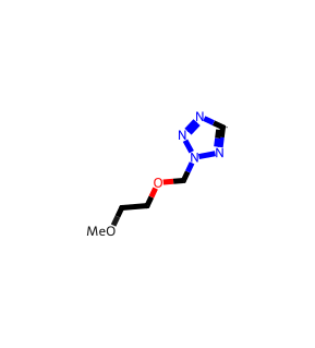 COCCOCn1n[c]nn1